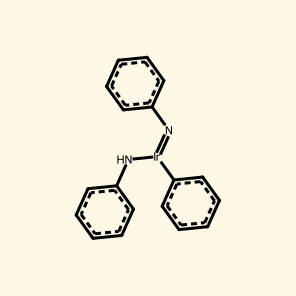 c1ccc([N]=[Ir]([NH]c2ccccc2)[c]2ccccc2)cc1